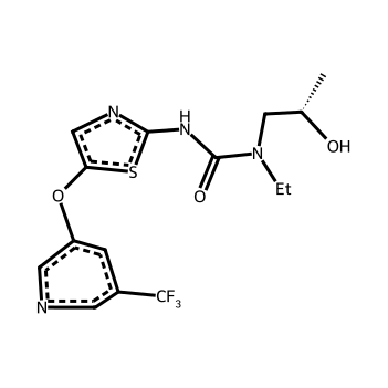 CCN(C[C@H](C)O)C(=O)Nc1ncc(Oc2cncc(C(F)(F)F)c2)s1